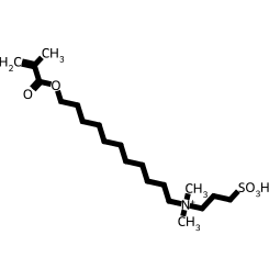 C=C(C)C(=O)OCCCCCCCCCCC[N+](C)(C)CCCS(=O)(=O)O